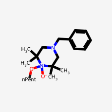 CCCCCO[N+]1([O-])C(C)(C)CN(Cc2ccccc2)CC1(C)C